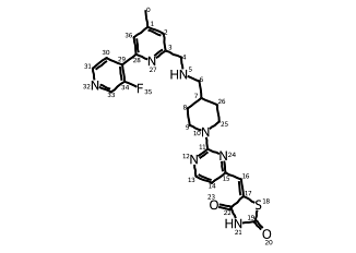 Cc1cc(CNCC2CCN(c3nccc(C=C4SC(=O)NC4=O)n3)CC2)nc(-c2ccncc2F)c1